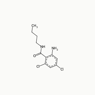 CCCCNC(=O)c1c(N)cc(Cl)cc1Cl